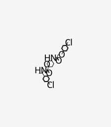 C[C@@H](NC(=O)[C@@H]1CC[C@@H](NC(=O)COc2ccc(Cl)cc2)CO1)c1ccc(Cl)cc1